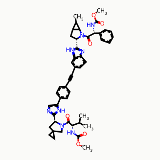 COC(=O)N[C@H](C(=O)N1CC2(CC2)C[C@H]1c1ncc(-c2ccc(C#Cc3ccc4nc([C@@H]5CC6C(C)C6N5C(=O)[C@H](NC(=O)OC)c5ccccc5)[nH]c4c3)cc2)[nH]1)C(C)C